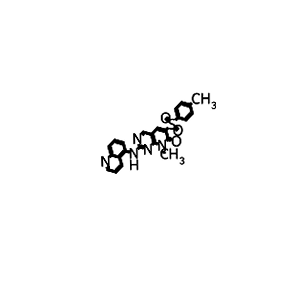 Cc1ccc(S(=O)(=O)c2cc3cnc(Nc4cccc5ncccc45)nc3n(C)c2=O)cc1